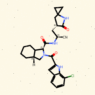 N#C[C@H](C[C@@H]1CC2(CC2)NC1=O)NC(=O)[C@@H]1C2CCCC[C@H]2CN1C(=O)c1cc2cccc(Cl)c2[nH]1